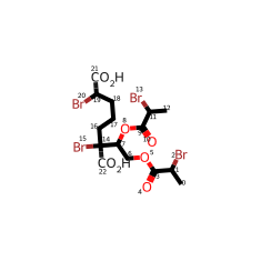 CC(Br)C(=O)OCC(OC(=O)C(C)Br)C(Br)(CCCC(Br)C(=O)O)C(=O)O